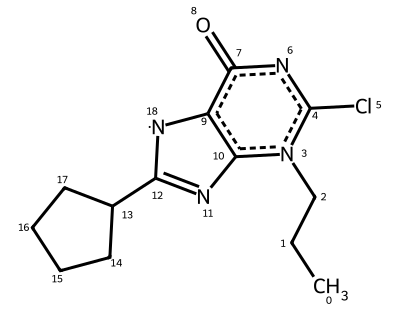 CCCn1c(Cl)nc(=O)c2c1N=C(C1CCCC1)[N]2